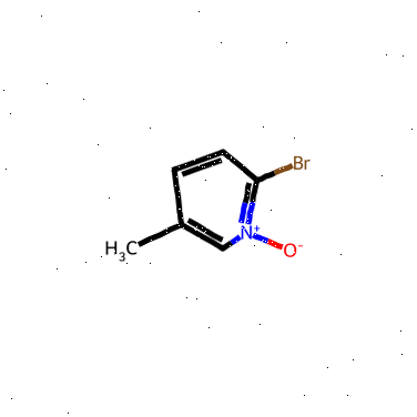 Cc1ccc(Br)[n+]([O-])c1